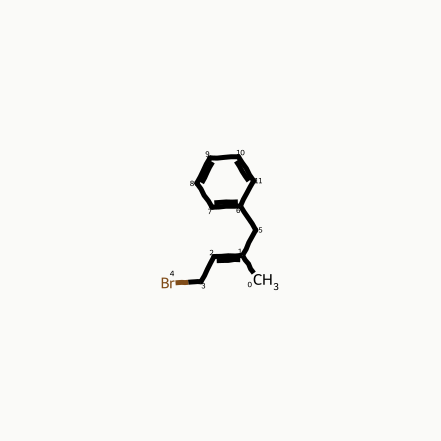 CC(=CCBr)Cc1ccccc1